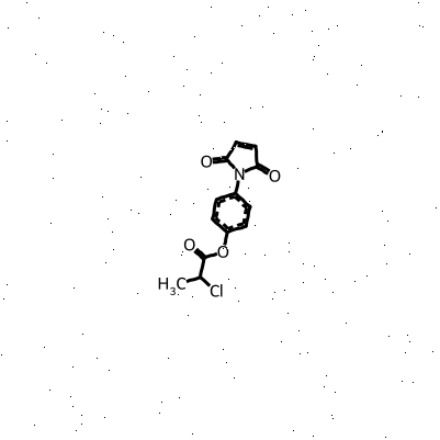 CC(Cl)C(=O)Oc1ccc(N2C(=O)C=CC2=O)cc1